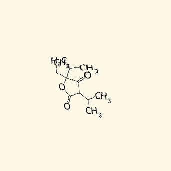 CCC1(C(C)C)OC(=O)C(C(C)C)C1=O